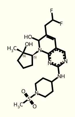 C[C@]1(O)CCC[C@@H]1N1c2nc(NC3CCN(S(C)(=O)=O)CC3)ncc2C=C(CC(F)F)C1O